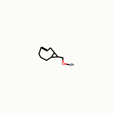 CCCOCC1C2C/C=C/CCCC21